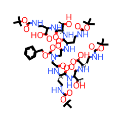 C[C@@H](O)C(NC(=O)[C@H](CCNC(=O)OC(C)(C)C)NC(=O)CN(CC(=O)NC(CCNC(=O)OC(C)(C)C)C(=O)N[C@H](C(=O)NC(CCNC(=O)OC(C)(C)C)C(=O)O)[C@@H](C)O)C(=O)OCc1ccccc1)C(=O)N[C@@H](CCNC(=O)OC(C)(C)C)C(=O)O